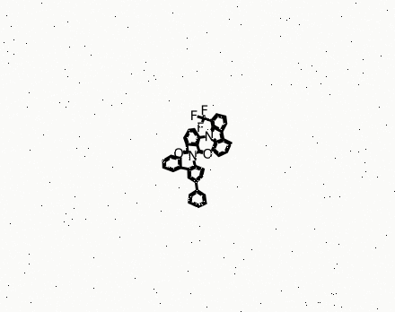 O=C1c2cccc(-n3c4ccccc4c4cccc(C(F)(F)F)c43)c2C(=O)N1c1ccc(-c2ccccc2)cc1-c1ccccc1